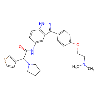 CN(C)CCOc1ccc(-c2n[nH]c3ccc(NC(=O)C(c4ccsc4)N4CCCC4)cc23)cc1